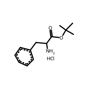 CC(C)(C)OC(=O)C(N)Cc1ccccc1.Cl